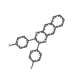 Fc1ccc(-c2nc3cc4ccccc4cc3nc2-c2ccc(F)cc2)cc1